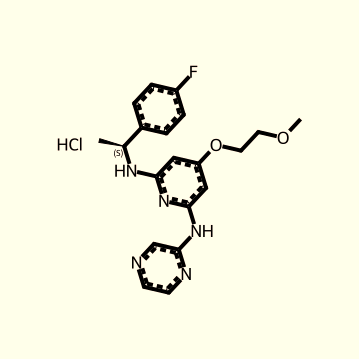 COCCOc1cc(Nc2cnccn2)nc(N[C@@H](C)c2ccc(F)cc2)c1.Cl